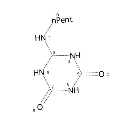 CCCCCNC1NC(=O)NC(=O)N1